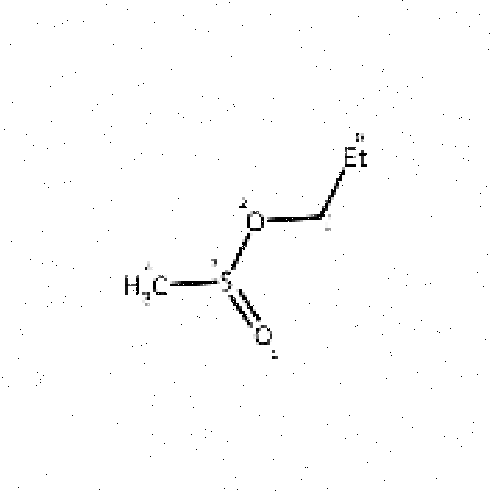 CC[CH]OS(C)=O